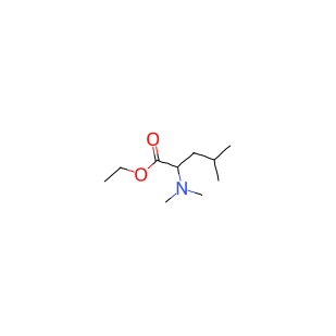 CCOC(=O)C(CC(C)C)N(C)C